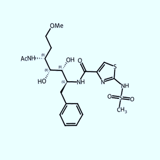 COCC[C@@H](NC(C)=O)[C@@H](O)[C@H](O)[C@H](Cc1ccccc1)NC(=O)c1csc(NS(C)(=O)=O)n1